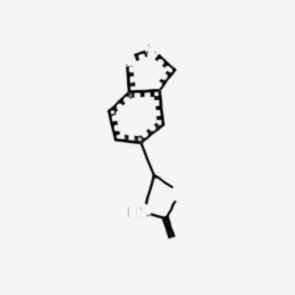 O=C1NC(c2ccc3oncc3c2)O1